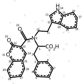 O=C(O)C(Cc1ccccc1)N(CCc1c[nH]c2ccccc12)C(=O)c1cc2ccccc2oc1=O